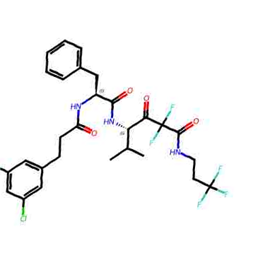 CC(C)[C@H](NC(=O)[C@H](Cc1ccccc1)NC(=O)CCc1cc(Cl)cc(Cl)c1)C(=O)C(F)(F)C(=O)NCCC(F)(F)F